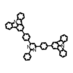 c1ccc(-c2nc(-c3ccc(-c4cc5c6ccccc6n6c7ccccc7c(c4)c56)cc3)cc(-c3ccc(-c4cc5c6ccccc6n6c7ccccc7c(c4)c56)cc3)n2)cc1